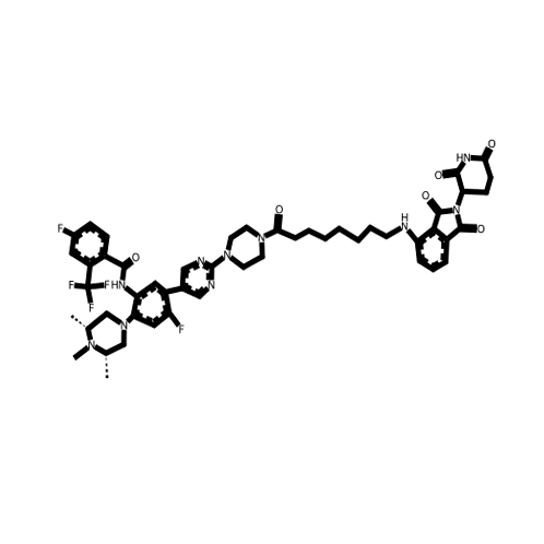 C[C@@H]1CN(c2cc(F)c(-c3cnc(N4CCN(C(=O)CCCCCCCNc5cccc6c5C(=O)N(C5CCC(=O)NC5=O)C6=O)CC4)nc3)cc2NC(=O)c2ccc(F)cc2C(F)(F)F)C[C@H](C)N1C